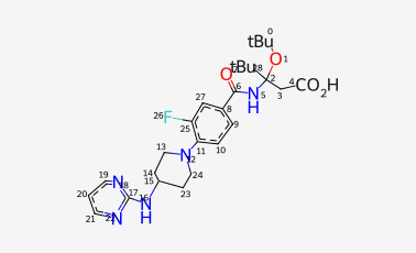 CC(C)(C)OC(CC(=O)O)(NC(=O)c1ccc(N2CCC(Nc3ncccn3)CC2)c(F)c1)C(C)(C)C